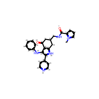 Cn1cccc1C(=O)NCC1CC(=O)c2c([nH]c(-c3ccncc3)c2Nc2ccccc2)C1